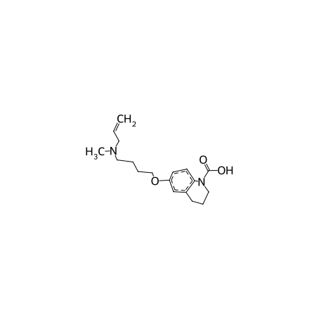 C=CCN(C)CCCCOc1ccc2c(c1)CCCN2C(=O)O